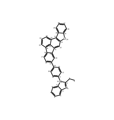 CCc1nc2ccccc2n1-c1ccc(-c2ccc3c(c2)-c2cc4oc5ccccc5c4c4cccc-3c24)cc1